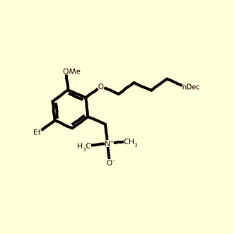 CCCCCCCCCCCCCCOc1c(C[N+](C)(C)[O-])cc(CC)cc1OC